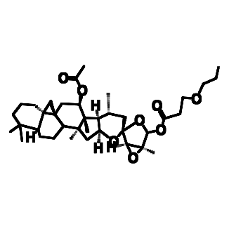 CCCOCCC(=O)OC1O[C@]2(C[C@@H](C)[C@H]3[C@H](C[C@@]4(C)C5CC[C@H]6C(C)(C)CCC[C@@]67C[C@@]57C[C@@H](OC(C)=O)[C@]34C)O2)[C@@H]2O[C@]12C